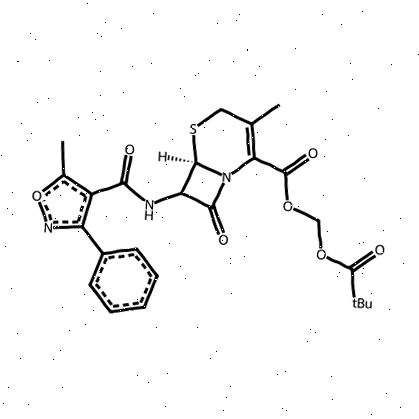 CC1=C(C(=O)OCOC(=O)C(C)(C)C)N2C(=O)C(NC(=O)c3c(-c4ccccc4)noc3C)[C@H]2SC1